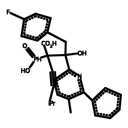 Cc1ccc(C(O)(Cc2ccc(F)cc2)C(C#CC(C)C)(C(=O)O)[PH](=O)O)nc1-c1ccccc1